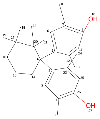 Cc1cc(C2(c3cc(C)c(O)cc3C)CCCC(C)(C)C2(C)C)c(C)cc1O